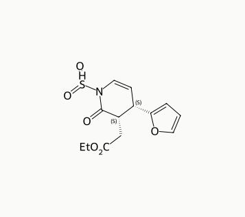 CCOC(=O)C[C@@H]1C(=O)N([SH](=O)=O)C=C[C@@H]1c1ccco1